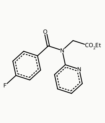 CCOC(=O)CN(C(=O)c1ccc(F)cc1)c1ccccn1